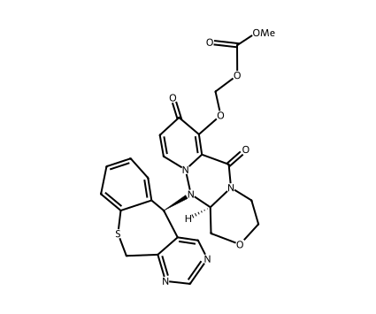 COC(=O)OCOc1c2n(ccc1=O)N([C@@H]1c3ccccc3SCc3ncncc31)[C@@H]1COCCN1C2=O